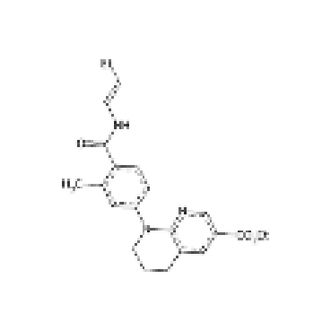 CC/C=C/NC(=O)c1ccc(N2CCCc3cc(C(=O)OCC)cnc32)cc1C